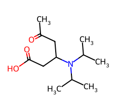 CC(=O)CC(CC(=O)O)N(C(C)C)C(C)C